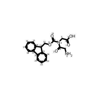 NCC(=O)N(CC(=O)O)C(=O)OCC1c2ccccc2-c2ccccc21